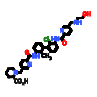 Cc1c(NC(=O)c2ccc(CN3CCCC[C@H]3C(=O)O)cn2)cccc1-c1cccc(NC(=O)c2ccc(CNCCO)cn2)c1Cl